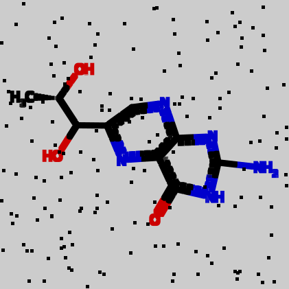 C[C@H](O)C(O)c1cnc2nc(N)[nH]c(=O)c2n1